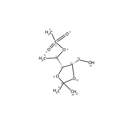 CC(OS(C)(=O)=O)[C@H]1OC(C)(C)O[C@H]1CO